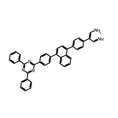 N=C/C(=C\N)c1ccc(-c2ccc(-c3ccc(-c4nc(-c5ccccc5)nc(-c5ccccc5)n4)cc3)c3ccccc23)cc1